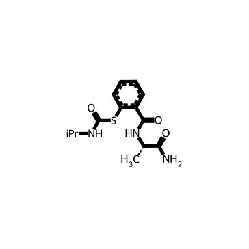 CC(C)NC(=O)Sc1ccccc1C(=O)N[C@@H](C)C(N)=O